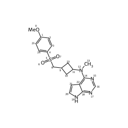 COc1ccc(S(=O)(=O)CC2CC(N(C)c3ncnc4[nH]ccc34)C2)cc1